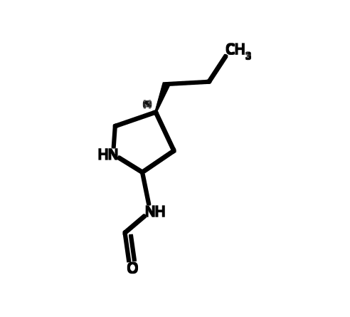 CCC[C@@H]1CNC(NC=O)C1